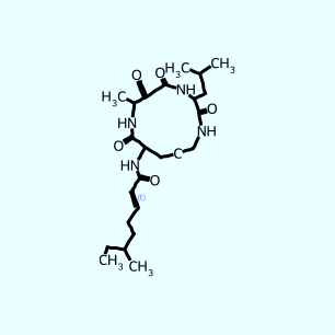 CCC(C)CC/C=C/C(=O)NC1CCCNC(=O)C(CC(C)C)NC(=O)C(=O)C(C)NC1=O